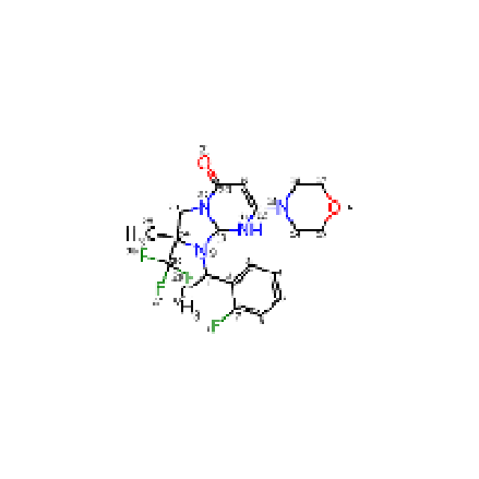 CC(c1ccccc1F)N1C2NC(N3CCOCC3)=CC(=O)N2C[C@@]1(C)C(F)(F)F